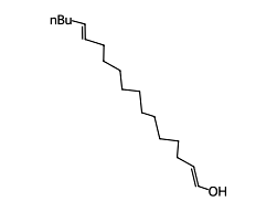 CCCCC=CCCCCCCCCCCC=CO